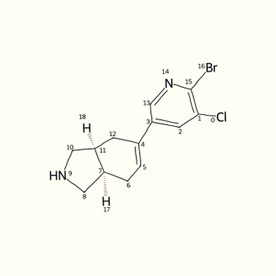 Clc1cc(C2=CC[C@H]3CNC[C@H]3C2)cnc1Br